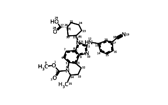 COC(=O)N1c2ccc3c(nc(Nc4cccc(C#N)c4)n3[C@@H]3CCC[C@@H](C(=O)O)C3)c2CCC1C